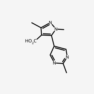 Cc1ncc(-c2c(C(=O)O)c(C)nn2C)cn1